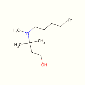 CC(C)CCCCN(C)C(C)(C)CCO